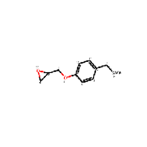 CSCc1ccc(OCC2CO2)cc1